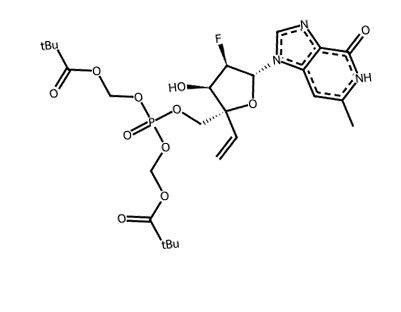 C=C[C@]1(COP(=O)(OCOC(=O)C(C)(C)C)OCOC(=O)C(C)(C)C)O[C@@H](n2cnc3c(=O)[nH]c(C)cc32)[C@H](F)[C@@H]1O